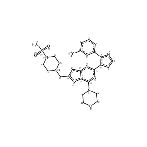 Cc1cccc(-n2nccc2-c2nc(N3CCOCC3)c3sc(CN4CCN(S(C)(=O)=O)CC4)cc3n2)c1